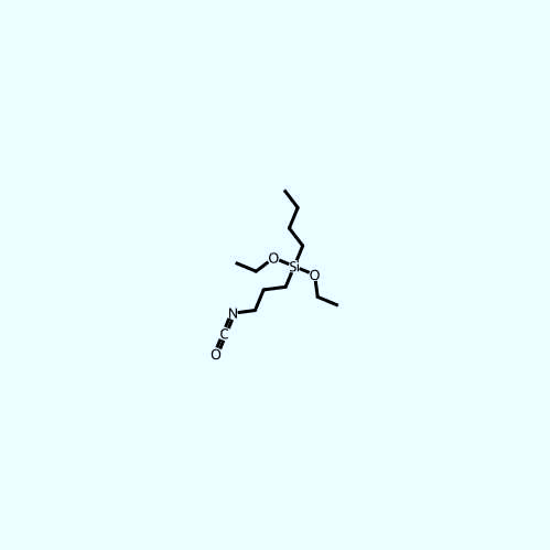 CCCC[Si](CCCN=C=O)(OCC)OCC